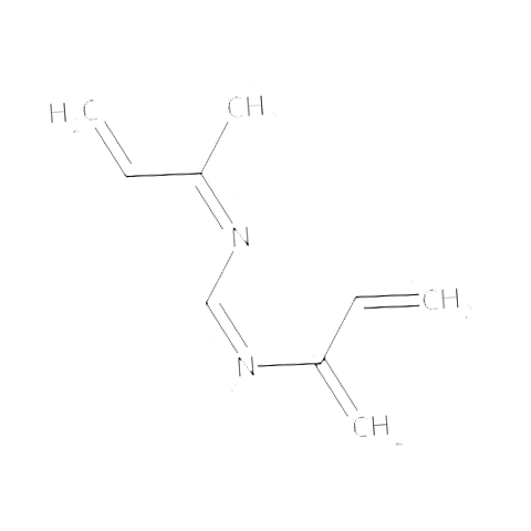 C=CC(=C)/N=C\N=C(\C)C=C